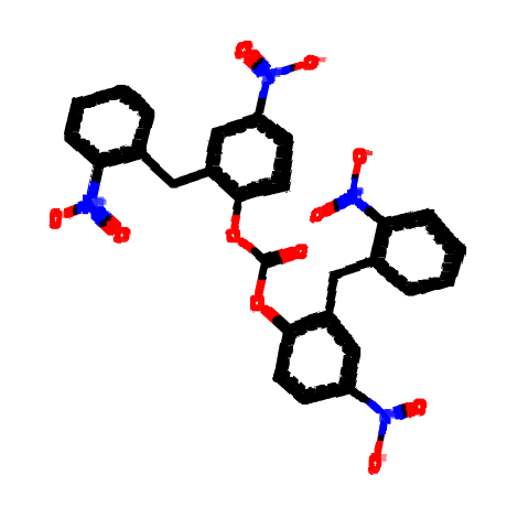 O=C(Oc1ccc([N+](=O)[O-])cc1Cc1ccccc1[N+](=O)[O-])Oc1ccc([N+](=O)[O-])cc1Cc1ccccc1[N+](=O)[O-]